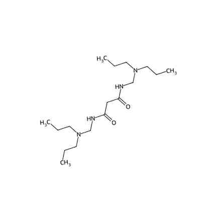 CCCN(CCC)CNC(=O)CC(=O)NCN(CCC)CCC